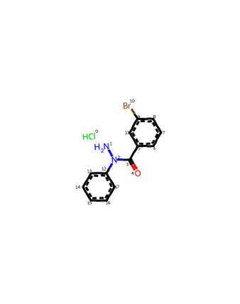 Cl.NN(C(=O)c1cccc(Br)c1)c1ccccc1